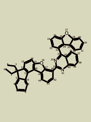 CCC1(CC)c2ccccc2-c2c1ccc1oc3c(-c4nc(-c5cccc6oc7ccccc7c56)c5ccccc5n4)cccc3c21